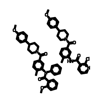 COc1ccc(C2CCN(C(=O)c3ccc(C)c(N(C(=O)c4ccccc4OC)c4ccccc4)c3)CC2)cc1.COc1ccc(C2CCN(C(=O)c3ccc(C)c(NC(=O)c4cccnc4Cl)c3)CC2)cc1